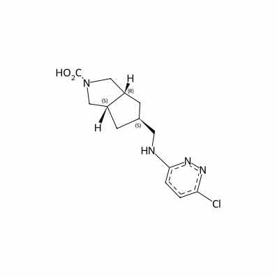 O=C(O)N1C[C@H]2C[C@H](CNc3ccc(Cl)nn3)C[C@H]2C1